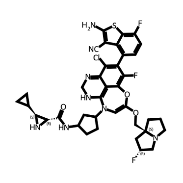 N#Cc1c(N)sc2c(F)ccc(-c3c(F)c4c5c(c3Cl)=NCNC=5N(C3CCC(NC(=O)[C@@H]5N[C@H]5C5CC5)C3)C=C(OC[C@@]35CCCN3C[C@H](F)C5)O4)c12